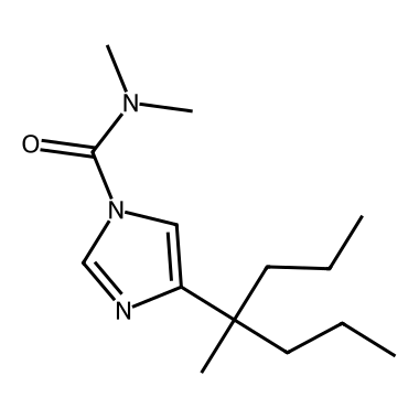 CCCC(C)(CCC)c1cn(C(=O)N(C)C)cn1